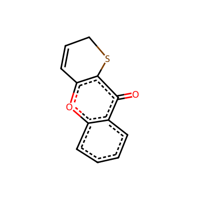 O=c1c2c(oc3ccccc13)C=CCS2